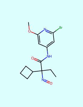 CCC(N=O)(C(=O)Nc1cc(Br)nc(OC)c1)C1CCC1